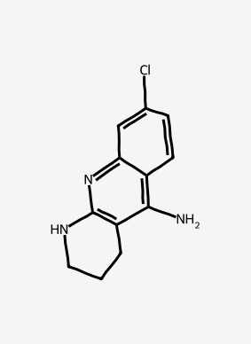 Nc1c2c(nc3cc(Cl)ccc13)NCCC2